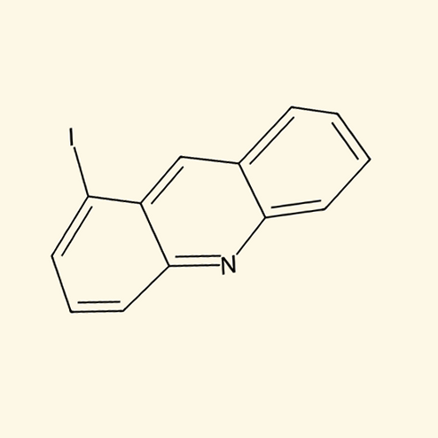 Ic1cccc2nc3ccccc3cc12